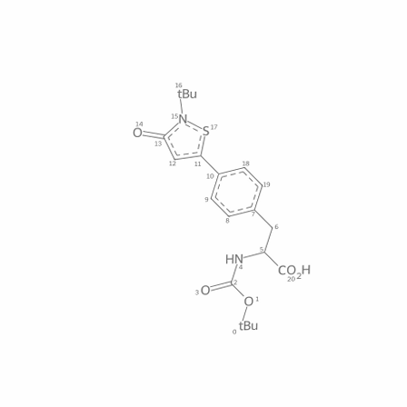 CC(C)(C)OC(=O)NC(Cc1ccc(-c2cc(=O)n(C(C)(C)C)s2)cc1)C(=O)O